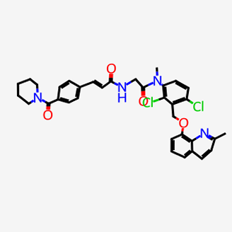 Cc1ccc2cccc(OCc3c(Cl)ccc(N(C)C(=O)CNC(=O)/C=C/c4ccc(C(=O)N5CCCCC5)cc4)c3Cl)c2n1